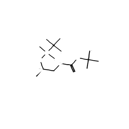 [CH2][C@H](CNC(=O)OC(C)(C)C)O[Si](C)(C)C(C)(C)C